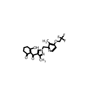 Cc1nn(Cc2nccc(OCC(F)(F)F)c2C)cc1C(=O)C1=C(O)CCCC1=O